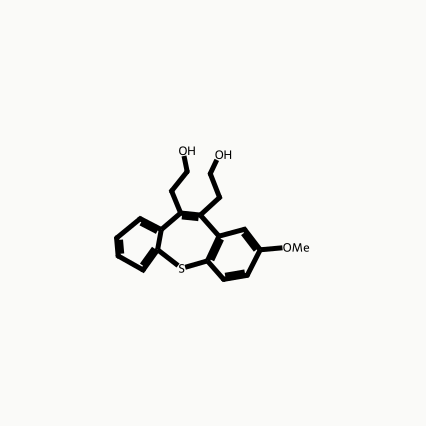 COc1ccc2c(c1)C(CCO)=C(CCO)c1ccccc1S2